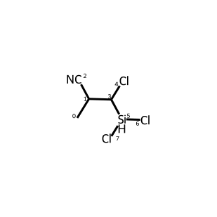 CC(C#N)C(Cl)[SiH](Cl)Cl